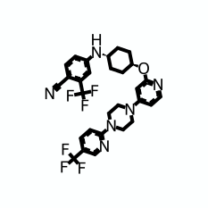 N#Cc1ccc(N[C@H]2CC[C@H](Oc3cc(N4CCN(c5ccc(C(F)(F)F)cn5)CC4)ccn3)CC2)cc1C(F)(F)F